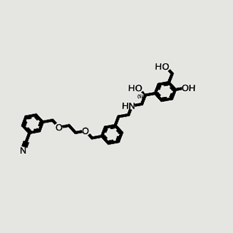 N#Cc1cccc(COCCOCc2cccc(CCNC[C@@H](O)c3ccc(O)c(CO)c3)c2)c1